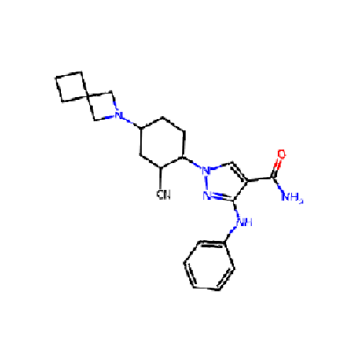 N#CC1CC(N2CC3(CCC3)C2)CCC1n1cc(C(N)=O)c(Nc2ccccc2)n1